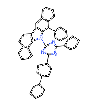 c1ccc(-c2ccc(-c3nc(-c4ccccc4)nc(-n4c5c(-c6ccccc6)c6ccccc6cc5c5ccc6ccccc6c54)n3)cc2)cc1